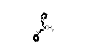 CN(CCCSc1ccccc1)CCCN1CCCC1